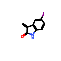 C=C1C(=O)Nc2ccc(I)cc21